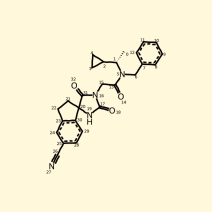 C[C@@H](C1CC1)N(Cc1ccccc1)C(=O)CN1C(=O)NC2(CCc3cc(C#N)ccc32)C1=O